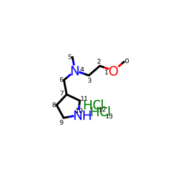 COCCN(C)CC1CCNC1.Cl.Cl